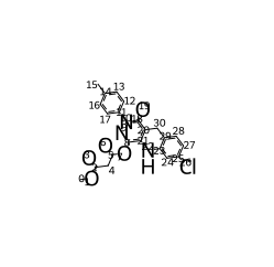 COC(=O)CC(=O)Oc1nn(-c2ccc(C)cc2)c(=O)c2c1Nc1cc(Cl)ccc1C2